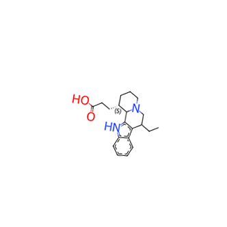 CCC1CN2CCC[C@@H](CCC(=O)O)C2c2[nH]c3ccccc3c21